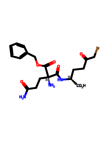 NC(=O)CC[C@](N)(C(=O)N[C@@H](CCC(=O)CBr)C(=O)O)C(=O)OCc1ccccc1